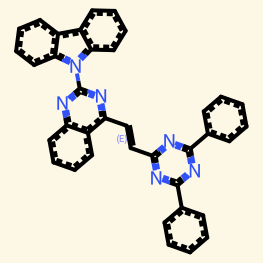 C(=C\c1nc(-n2c3ccccc3c3ccccc32)nc2ccccc12)/c1nc(-c2ccccc2)nc(-c2ccccc2)n1